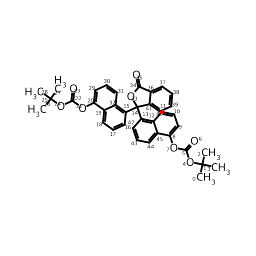 CC(C)(C)OC(=O)Oc1cccc2c(C3(c4cccc5c(OC(=O)OC(C)(C)C)cccc45)OC(=O)c4ccccc43)cccc12